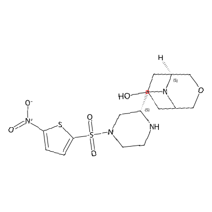 O=[N+]([O-])c1ccc(S(=O)(=O)N2CCN[C@@H](CN3C4COC[C@@H]3CC(O)C4)C2)s1